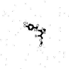 COc1ccc(C(=O)Nc2scnc2C(Br)COC=O)cc1